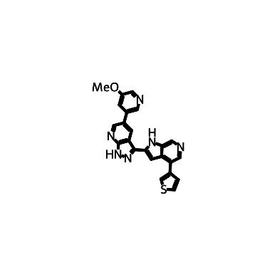 COc1cncc(-c2cnc3[nH]nc(-c4cc5c(-c6ccsc6)cncc5[nH]4)c3c2)c1